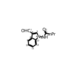 CCCC(=O)Nn1cc(C=O)c2ccccc21